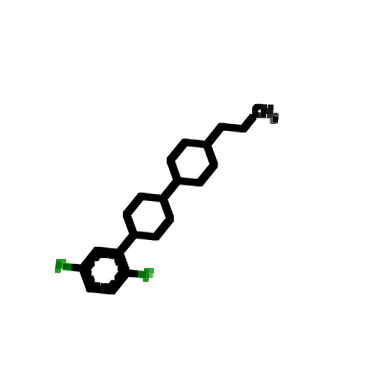 CCCC1CCC(C2CCC(c3cc(F)ccc3F)CC2)CC1